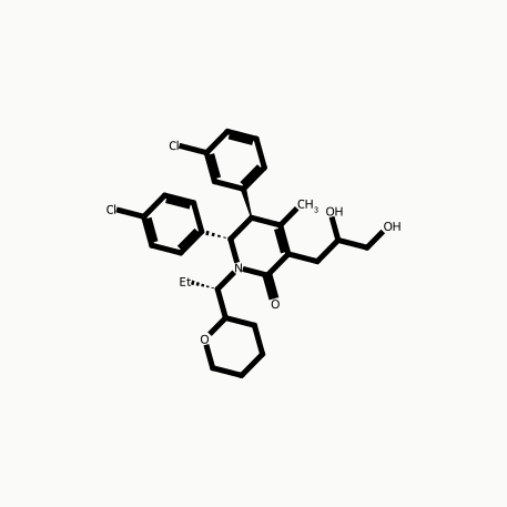 CC[C@@H](C1CCCCO1)N1C(=O)C(CC(O)CO)=C(C)[C@H](c2cccc(Cl)c2)[C@H]1c1ccc(Cl)cc1